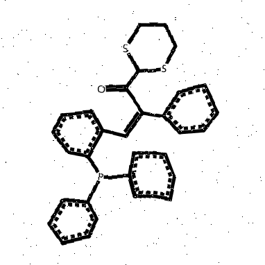 O=C(C(=Cc1ccccc1P(c1ccccc1)c1ccccc1)c1ccccc1)C1SCCCS1